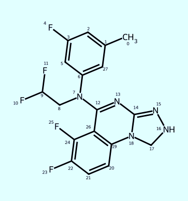 Cc1cc(F)cc(N(CC(F)F)C2=NC3=NNCN3c3ccc(F)c(F)c32)c1